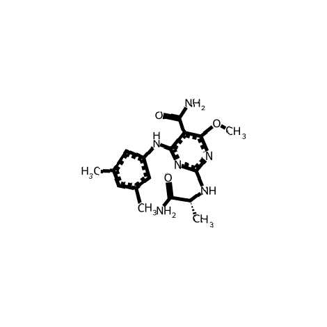 COc1nc(N[C@H](C)C(N)=O)nc(Nc2cc(C)cc(C)c2)c1C(N)=O